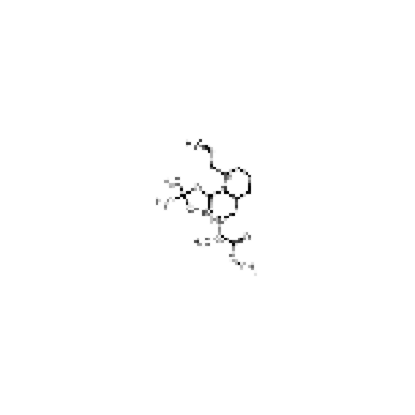 C=CC[C@H]1CCCC(CN[C@@H](C)C(=O)OC)N1C(=O)OC(C)(C)C